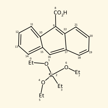 CCO[Si](CC)(OCC)OCC.O=C(O)c1c2ccccc2cc2ccccc12